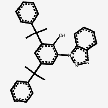 CC(C)(c1ccccc1)c1cc(-n2nnc3ccccc32)c(O)c(C(C)(C)c2ccccc2)c1